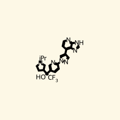 CC(C)N1CCC(C(O)(c2ccc(-n3cc(-c4ccnc5[nH]cnc45)cn3)nc2)C(F)(F)F)C1